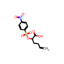 C=CCCC(OS(=O)(=O)c1ccc([N+](=O)[O-])cc1)C(=O)O